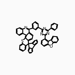 c1ccc(-c2nc(-c3cccc(-c4nc5ccccc5c5c6c(ccc45)C4(c5ccccc5S6)c5ccccc5-c5ccccc54)c3)nc(-c3cccc4oc5ccccc5c34)n2)cc1